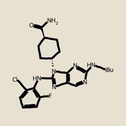 CCC(C)Nc1ncc2nc(Nc3c(F)cccc3Cl)n([C@H]3CC[C@H](C(N)=O)CC3)c2n1